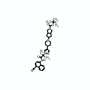 CC(C)(C)OC(=O)N1CC2CC(N3CCC(c4cnn(C(C)(C)C(=O)Nc5ccc(C#N)c6ccccc56)c4)CC3)CC2C1